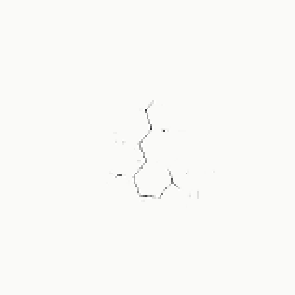 CCCCC[CH][C@]1(O)C[C@H](O)[C@@H](N)[C@H]([C@H](O)[C@H](O)CO)O1